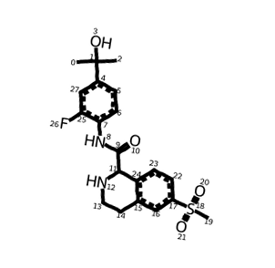 CC(C)(O)c1ccc(NC(=O)C2NCCc3cc(S(C)(=O)=O)ccc32)c(F)c1